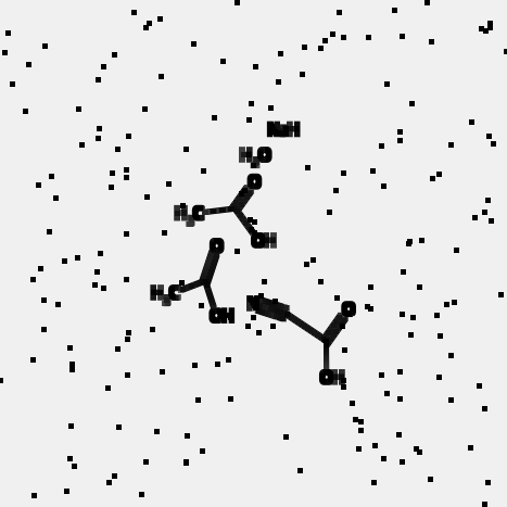 CC(=O)O.CC(=O)O.N#CC(=O)O.O.[NaH]